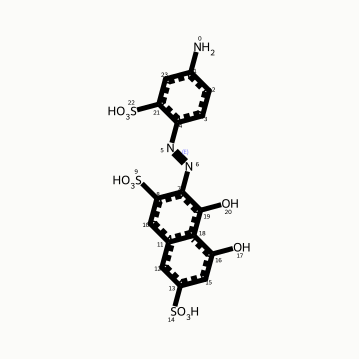 Nc1ccc(/N=N/c2c(S(=O)(=O)O)cc3cc(S(=O)(=O)O)cc(O)c3c2O)c(S(=O)(=O)O)c1